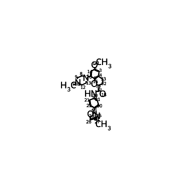 COc1cc2c(c(N3CCN(C)CC3)c1)OC(C(=O)Nc1ccc(-c3nc(C)co3)cc1)CC2